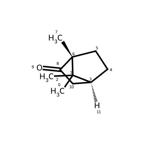 CC1(C)[C@H]2CC[C@@]1(C)C(=O)C2